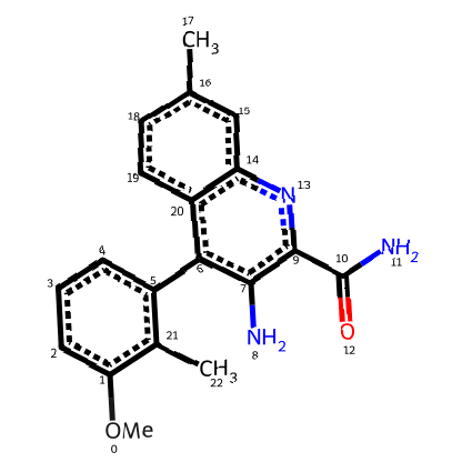 COc1cccc(-c2c(N)c(C(N)=O)nc3cc(C)ccc23)c1C